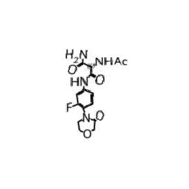 CC(=O)N[C@@H](C(N)=O)C(=O)Nc1ccc(N2CCOCC2=O)c(F)c1